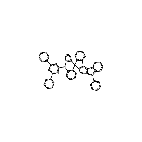 c1ccc(-c2nc(-c3ccccc3)nc(N3c4ccccc4C4(c5ccccc5-c5c4ccc4c5c5ccccc5n4-c4ccccc4)c4ccccc43)n2)cc1